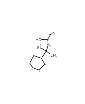 CCC(C)(OC(O)C(C)C)C1CCCCC1